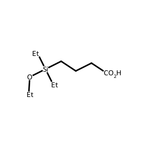 CCO[Si](CC)(CC)CCCC(=O)O